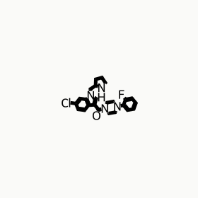 O=C(c1cn(CC2CCCN2)c2cc(Cl)ccc12)N1CCN(c2ccccc2F)CC1